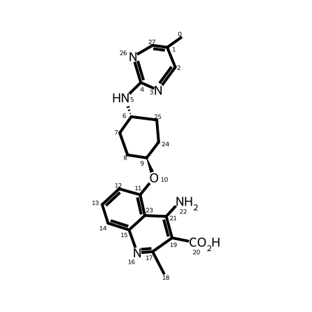 Cc1cnc(N[C@H]2CC[C@H](Oc3cccc4nc(C)c(C(=O)O)c(N)c34)CC2)nc1